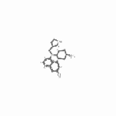 NC1CCC(N(CC2CCOC2)c2ccnc3cc(Cl)ccc23)CC1